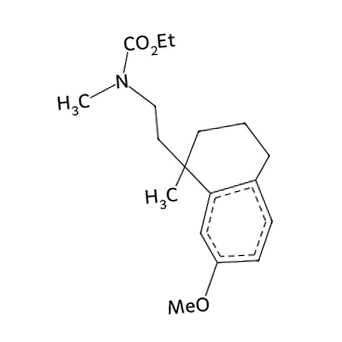 CCOC(=O)N(C)CCC1(C)CCCc2ccc(OC)cc21